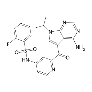 CC(C)n1cc(C(=O)c2cc(NS(=O)(=O)c3ccccc3F)ccn2)c2c(N)ncnc21